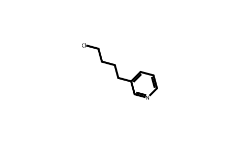 ClCCCCc1cccnc1